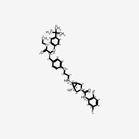 CCOC(=O)[C@H](Cc1ccc(OCCN[C@@H]2C3CN(C(=O)Nc4cc(F)ccc4F)C[C@H]32)cc1)Oc1ccc(C(C)(C)C)cc1